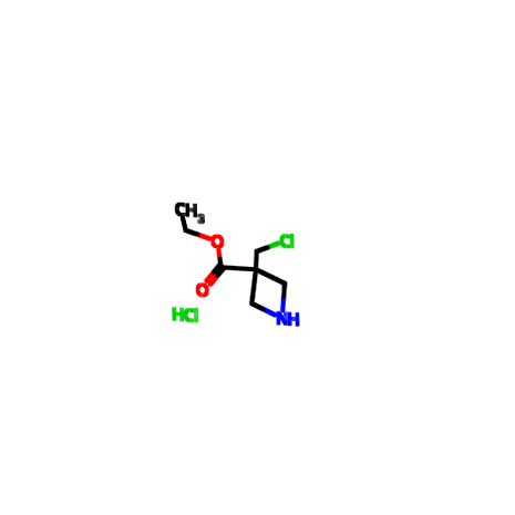 CCOC(=O)C1(CCl)CNC1.Cl